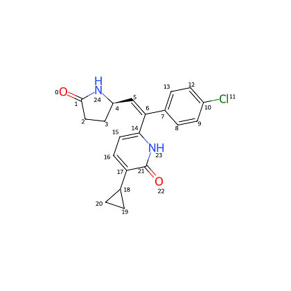 O=C1CC[C@H](/C=C(/c2ccc(Cl)cc2)c2ccc(C3CC3)c(=O)[nH]2)N1